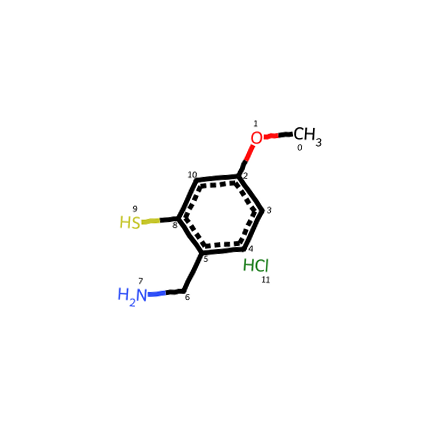 COc1ccc(CN)c(S)c1.Cl